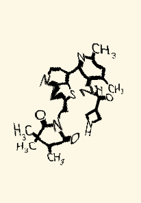 Cc1cc(C)c(NC(=O)C2CNC2)c(-c2ccnc3cc(CN4C(=O)C(C)C(C)(C)C4=O)sc23)n1